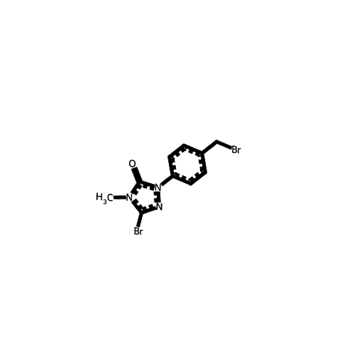 Cn1c(Br)nn(-c2ccc(CBr)cc2)c1=O